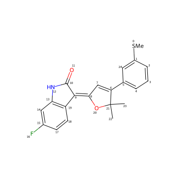 CSc1cccc(C2=C/C(=C3\C(=O)Nc4cc(F)ccc43)OC2(C)C)c1